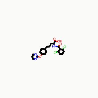 O=C(NC(CC=Cc1ccc(Oc2ncccn2)cc1)C(=O)O)c1c(Cl)cccc1Cl